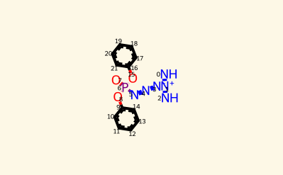 N=[N+]=N.[N-]=[N+]=NP(=O)(Oc1ccccc1)Oc1ccccc1